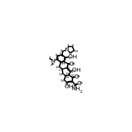 CN(C)c1cc(CN2CCCC2)c(O)c2c1CC1CC3CC(O)=C(C(N)=O)C(=O)C3C(O)=C1C2=O